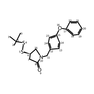 CC(C)(C)SS[C@@H]1CC(=O)N(Cc2ccc(Oc3ccccc3)cc2)C1